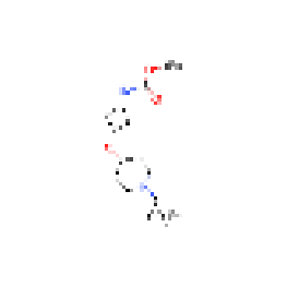 CCOC(=O)CN1CCC(O[C@H]2C[C@@H](NC(=O)OC(C)(C)C)C2)CC1